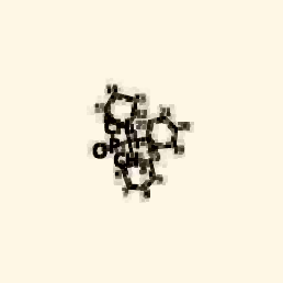 CP(C)(=O)C(c1ccccc1)(c1ccccc1)c1ccccc1